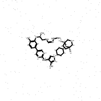 C[C@@H](CN/C=N\NN)Oc1cc(-c2cnc(Nc3cn([C@H]4CC[C@H](N5[C@@H]6CC[C@H]5COC6)CC4)nc3O)nc2)ccc1Cl